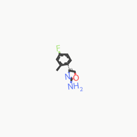 Cc1cc(F)ccc1[C@@H]1COC(N)=N1